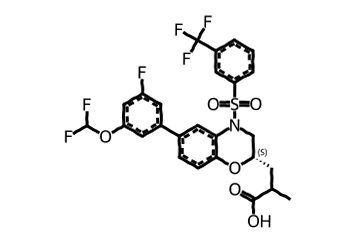 CC(C[C@H]1CN(S(=O)(=O)c2cccc(C(F)(F)F)c2)c2cc(-c3cc(F)cc(OC(F)F)c3)ccc2O1)C(=O)O